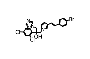 OC(Cn1ccc(C=Cc2ccc(Br)cc2)c1)(Cn1cncn1)c1ccc(Cl)cc1Cl